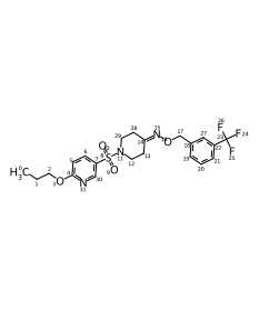 CCCOc1ccc(S(=O)(=O)N2CCC(=NOCc3cccc(C(F)(F)F)c3)CC2)cn1